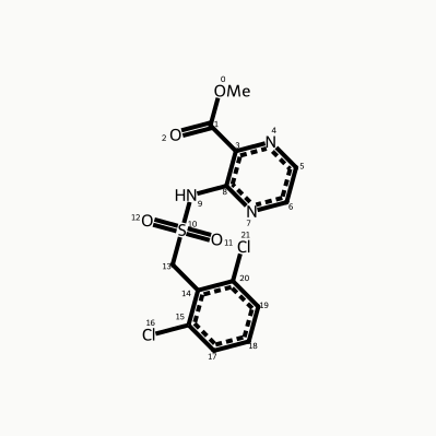 COC(=O)c1nccnc1NS(=O)(=O)Cc1c(Cl)cccc1Cl